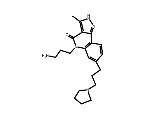 Cc1[nH]nc2c1c(=O)n(CCCN)c1cc(CCCN3CCCC3)ccc21